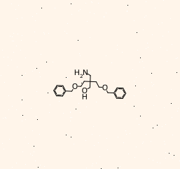 NCC(CO)(CCOCc1ccccc1)CCOCc1ccccc1